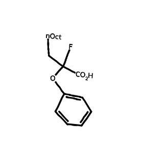 CCCCCCCCCC(F)(Oc1ccccc1)C(=O)O